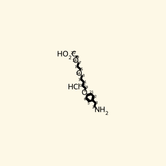 Cl.NCCc1ccc(OCCCCCOCCCOCC(=O)O)cc1